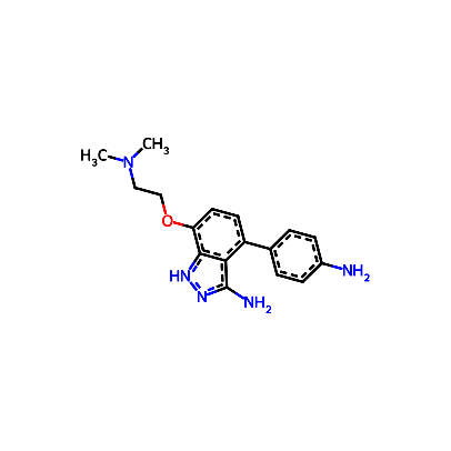 CN(C)CCOc1ccc(-c2ccc(N)cc2)c2c(N)n[nH]c12